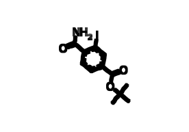 CC(C)(C)OC(=O)c1ccc(C(N)=O)c(I)c1